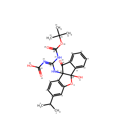 CC(C)c1ccc2c(c1)OC1(O)c3ccccc3C(=O)C21N/C(=N\C(=O)O)NC(=O)OC(C)(C)C